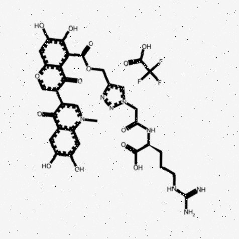 Cn1cc(-c2coc3cc(O)c(O)c(C(=O)OCc4cn(CC(=O)N[C@@H](CCCNC(=N)N)C(=O)O)nn4)c3c2=O)c(=O)c2cc(O)c(O)cc21.O=C(O)C(F)(F)F